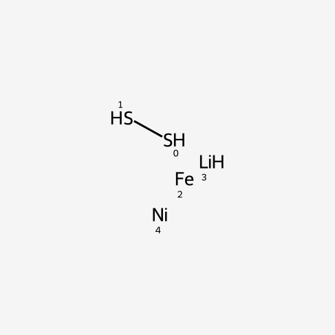 SS.[Fe].[LiH].[Ni]